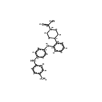 Cc1ccc(Nc2ccc(Oc3ncccc3C3CCN(C(=O)C(C)C)CC3)cc2)nc1